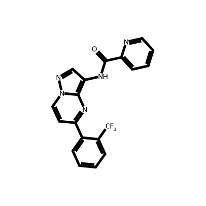 O=C(Nc1cnn2ccc(-c3ccccc3C(F)(F)F)nc12)c1ccccn1